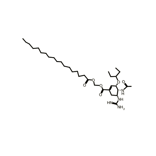 CCCCCCCCCCCCCCCCCC(=O)OCOC(=O)C1=C[C@@H](OC(CC)CC)[C@H](NC(C)=O)[C@@H](NC(=N)N)C1